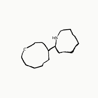 C1CCCCC(C2CCCCCCN2)CCC1